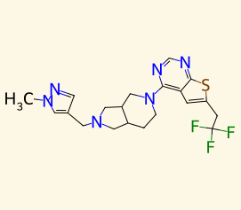 Cn1cc(CN2CC3CCN(c4ncnc5sc(CC(F)(F)F)cc45)CC3C2)cn1